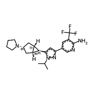 CC(C)n1nc(-c2cnc(N)c(C(F)(F)F)c2)cc1[C@H]1[C@@H]2C[C@H](N3CCCC3)C[C@@H]21